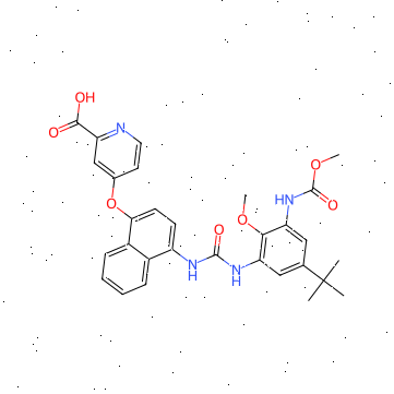 COC(=O)Nc1cc(C(C)(C)C)cc(NC(=O)Nc2ccc(Oc3ccnc(C(=O)O)c3)c3ccccc23)c1OC